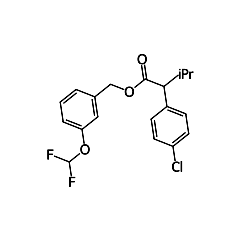 CC(C)C(C(=O)OCc1cccc(OC(F)F)c1)c1ccc(Cl)cc1